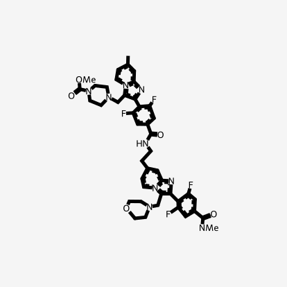 CNC(=O)c1cc(F)c(-c2nc3cc(CCNC(=O)c4cc(F)c(-c5nc6cc(C)ccn6c5CN5CCN(C(=O)OC)CC5)c(F)c4)ccn3c2CN2CCOCC2)c(F)c1